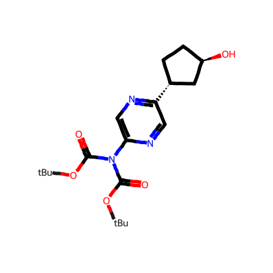 CC(C)(C)OC(=O)N(C(=O)OC(C)(C)C)c1cnc([C@@H]2CC[C@@H](O)C2)cn1